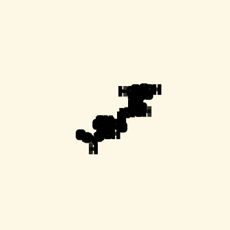 COc1ccc(Nc2ccc3c(O)c(N=Nc4cc(OC)c(N=Nc5cc(C)c(N=Nc6cc7c(S(=O)(=O)O)cc(S(=O)(=O)O)cc7cc6S(=O)(=O)O)cc5C)cc4O)c(S(=O)(=O)O)cc3c2)cc1